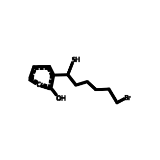 Oc1ccccc1C(S)CCCCCBr